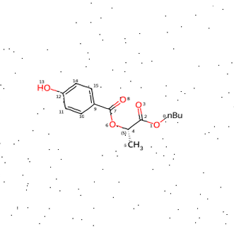 CCCCOC(=O)[C@H](C)OC(=O)c1ccc(O)cc1